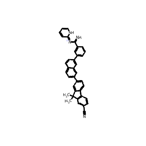 CC1(C)c2cc(C#N)ccc2-c2ccc(-c3ccc4ccc(-c5cccc(C(=N)/N=c6/cccc[nH]6)c5)cc4c3)cc21